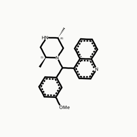 COc1cccc(C(c2ccnc3ccccc23)N2C[C@@H](C)NC[C@@H]2C)c1